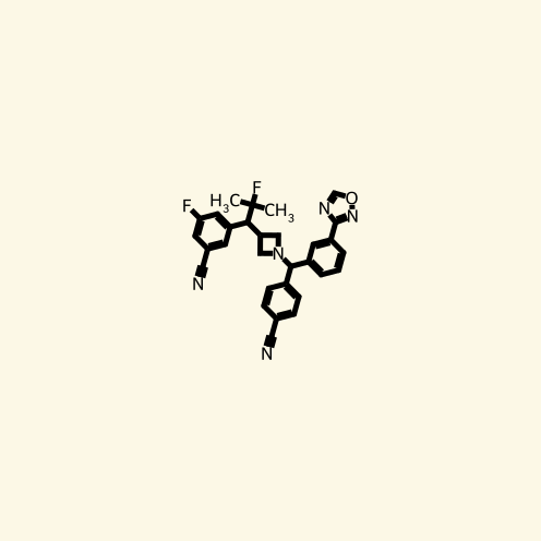 CC(C)(F)C(c1cc(F)cc(C#N)c1)C1CN(C(c2ccc(C#N)cc2)c2cccc(-c3ncon3)c2)C1